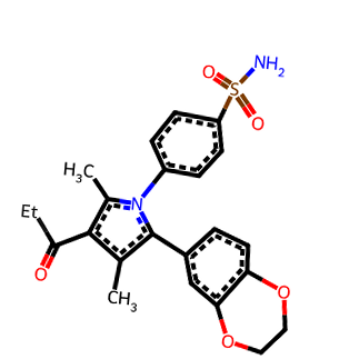 CCC(=O)c1c(C)c(-c2ccc3c(c2)OCCO3)n(-c2ccc(S(N)(=O)=O)cc2)c1C